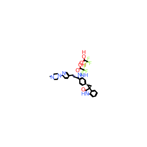 CN1CCN(c2ccc(/C=C/c3n[nH]c4cc([C@@H]5C[C@@]56C(=O)Nc5ccccc56)ccc34)cn2)CC1.O=C(O)C(F)(F)F.O=C(O)C(F)(F)F